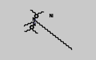 CCCCCCCCCCCCCCCCCCCCCCCCCCCCC(=N\c1ccc(CCCC)c(CCCC)c1)/C(CCCCCC)=N/c1ccc(CCCC)c(CCCC)c1.[Ni]